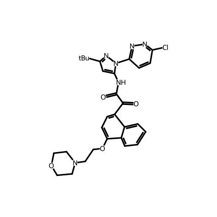 CC(C)(C)c1cc(NC(=O)C(=O)c2ccc(OCCN3CCOCC3)c3ccccc23)n(-c2ccc(Cl)nn2)n1